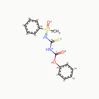 CS(=O)(=NC(=S)NC(=O)Oc1ccccc1)c1ccccc1